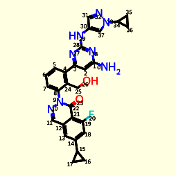 Nc1cc(-c2cccc(-n3ncc4cc(C5CC5)cc(F)c4c3=O)c2CO)nc(Nc2cnn(C3CC3)c2)n1